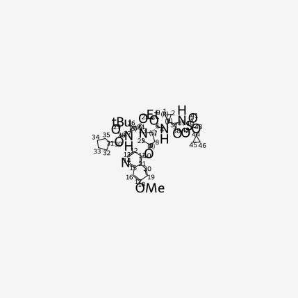 CC[C@@H]1C[C@]1(NC(=O)[C@@H]1C[C@@H](Oc2ccnc3cc(OC)ccc23)CN1C(=O)[C@@H](NC(=O)OC1CCCC1)C(C)(C)C)C(=O)NS(=O)(=O)OC1CC1